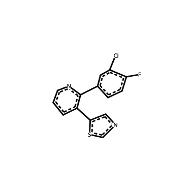 Fc1ccc(-c2ncccc2-c2cncs2)cc1Cl